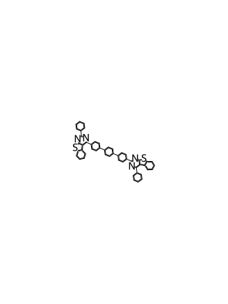 c1ccc(-c2nc(-c3ccc(-c4ccc(-c5ccc(-c6nc(-c7ccccc7)c7c(n6)sc6ccccc67)cc5)cc4)cc3)c3c(n2)sc2ccccc23)cc1